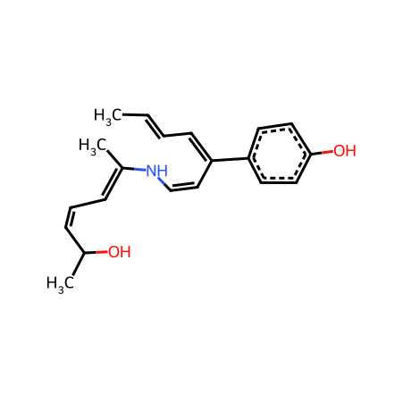 C/C=C/C=C(\C=C/N/C(C)=C/C=C\C(C)O)c1ccc(O)cc1